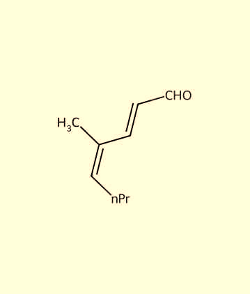 CCCC=C(C)C=CC=O